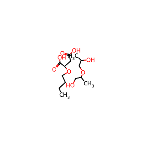 CC(O)COC(C)CO.CCCCOC(CC(=O)O)C(=O)O